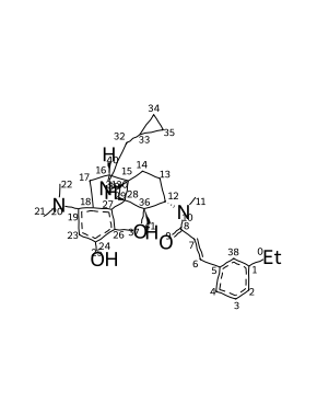 CCc1cccc(C=CC(=O)N(C)[C@H]2CC[C@H]3[C@H]4Cc5c(N(C)C)cc(O)c6c5[C@@]3(CCN4CC3CC3)[C@H]2O6)c1